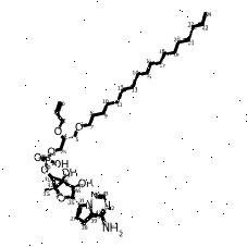 C=CCO[C@H](COCCCCCCCCCCCCCCCCCC)COP(=O)(O)OC1[C@@]2(C)O[C@@H](c3ccc4c(N)ncnn34)[C@H](O)[C@@]12O